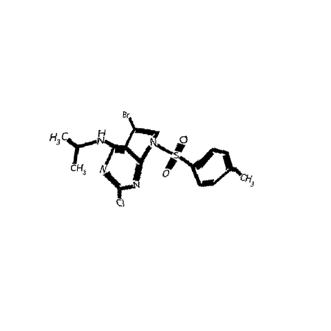 Cc1ccc(S(=O)(=O)n2cc(Br)c3c(NC(C)C)nc(Cl)nc32)cc1